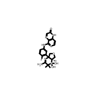 CC1(C)C(N)=NC2(c3cc(Nc4nccc5[nH]c(=O)cnc45)ccc3F)COC[C@H]2S1(O)O